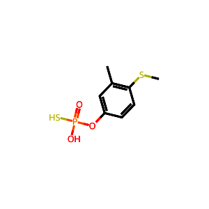 CSc1ccc(OP(=O)(O)S)cc1C